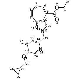 CCOC(=O)C1=CC=C=Cc2nn(CC3=CC(C)C(OCC4CC4)C=N3)cc21